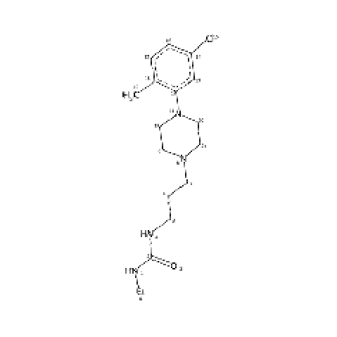 CCNC(=O)NCCCN1CCN(c2cc(Cl)ccc2C)CC1